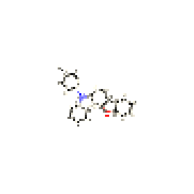 Cc1ccc(-n2c3ccccc3c3c4oc5ccccc5c4ccc32)cc1